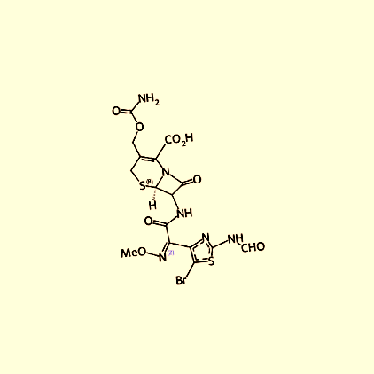 CO/N=C(\C(=O)NC1C(=O)N2C(C(=O)O)=C(COC(N)=O)CS[C@H]12)c1nc(NC=O)sc1Br